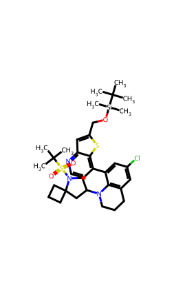 CC(C)(C)[Si](C)(C)OCc1cc2nccc(-c3cc(Cl)cc4c3N(C3CN(S(=O)(=O)C(C)(C)C)C5(CCC5)C3)CCC4)c2s1